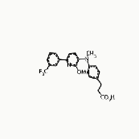 COc1nc(-c2cccc(C(F)(F)F)c2)ccc1N(C)c1ccc(CCC(=O)O)cc1